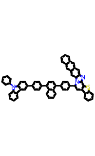 c1ccc(-n2c3ccccc3c3cc(-c4ccc(-c5ccc(-c6ccc(-c7cc8c9ccccc9sc8c8nc9cc%10cc%11ccccc%11cc%10cc9n78)cc6)c6ccccc56)cc4)ccc32)cc1